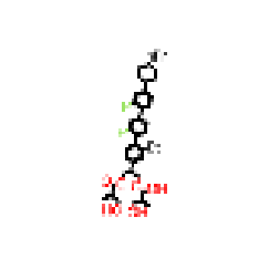 C=C(CO)C(=O)OCC(COC(O)C(=C)CO)c1ccc(-c2ccc(-c3ccc(C4CCC(CCC)CC4)cc3F)cc2F)c(CC)c1